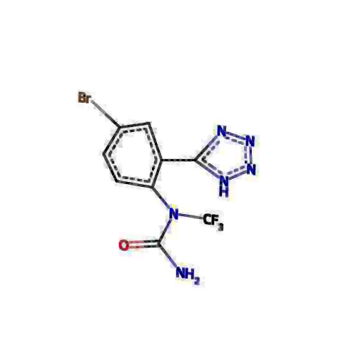 NC(=O)N(c1ccc(Br)cc1-c1nnn[nH]1)C(F)(F)F